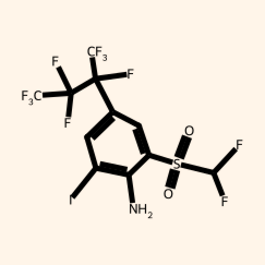 Nc1c(I)cc(C(F)(C(F)(F)F)C(F)(F)C(F)(F)F)cc1S(=O)(=O)C(F)F